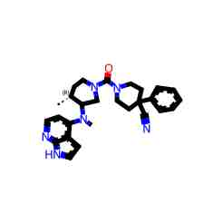 C[C@@H]1CCN(C(=O)N2CCC(C#N)(c3ccccc3)CC2)CC1N(C)c1ccnc2[nH]ccc12